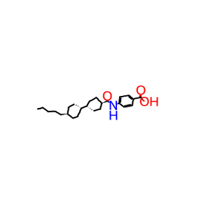 CCCCC[C@H]1CC[C@H]([C@H]2CC[C@H](C(=O)Nc3ccc(C(=O)O)cc3)CC2)CC1